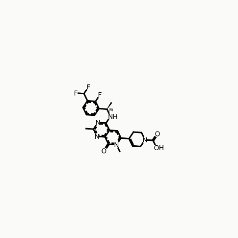 Cc1nc(N[C@H](C)c2cccc(C(F)F)c2F)c2cc(C3=CCN(C(=O)O)CC3)n(C)c(=O)c2n1